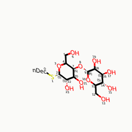 CCCCCCCCCCS[C@@H]1OC(CO)[C@@H](O[C@H]2OC(CO)[C@@H](O)[C@H](O)C2O)C(O)[C@@H]1O